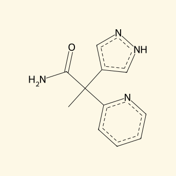 CC(C(N)=O)(c1cn[nH]c1)c1ccccn1